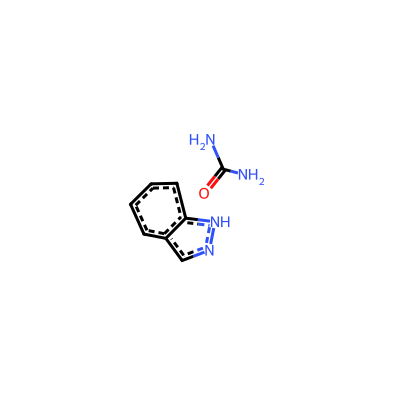 NC(N)=O.c1ccc2[nH]ncc2c1